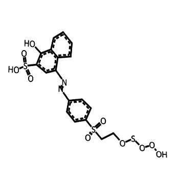 O=S(=O)(O)c1cc(/N=N/c2ccc(S(=O)(=O)CCOSOOO)cc2)c2ccccc2c1O